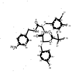 Nc1ccc(CNC(=O)[C@H](Cc2ccc(F)c(F)c2)NC(=O)[C@@H](Cc2ccc(F)cc2)OC(=O)C(F)(F)F)cn1